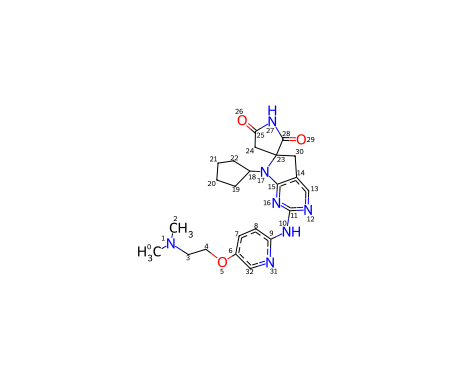 CN(C)CCOc1ccc(Nc2ncc3c(n2)N(C2CCCC2)C2(CC(=O)NC2=O)C3)nc1